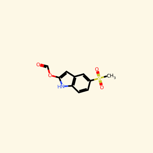 CS(=O)(=O)c1ccc2[nH]c(OC=O)cc2c1